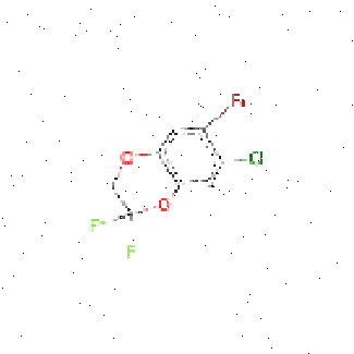 FC1(F)COc2cc(Br)c(Cl)cc2O1